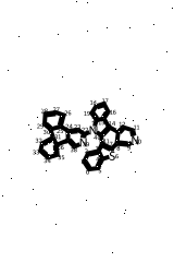 c1ccc2c(c1)sc1c3cnccc3c3c4ccccc4n(-c4cc5c6ccccc6c6ccccc6c5cn4)c3c21